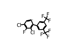 Fc1c(Cl)c[c]c(-c2cc(C(F)(F)F)cc(C(F)(F)F)c2)c1Cl